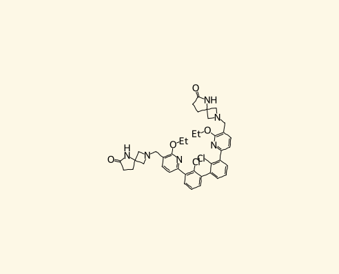 CCOc1nc(-c2cccc(-c3cccc(-c4ccc(CN5CC6(CCC(=O)N6)C5)c(OCC)n4)c3Cl)c2Cl)ccc1CN1CC2(CCC(=O)N2)C1